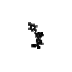 Cc1nc(C2=CN(CCc3ccc(F)cc3)NN2C)sc1C(=O)O